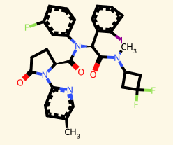 Cc1ccc(N2C(=O)CC[C@H]2C(=O)N(c2cccc(F)c2)[C@H](C(=O)N(C)C2CC(F)(F)C2)c2ccccc2I)nc1